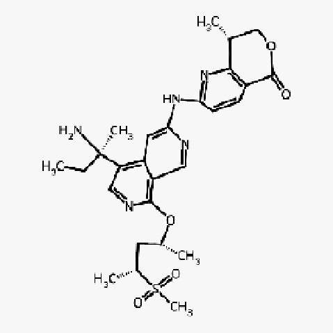 CC[C@@](C)(N)c1cnc(O[C@H](C)C[C@@H](C)S(C)(=O)=O)c2cnc(Nc3ccc4c(n3)[C@H](C)COC4=O)cc12